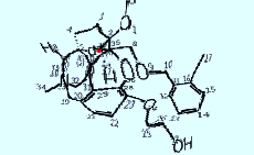 COC12CC[C@@]3(C[C@@H]1COCc1ccccc1C)[C@H]1Cc4ccc(OCCO)c5c4[C@@]3(CCN1C)[C@H]2O5